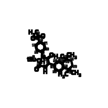 CC(C)(C)OC(=O)NC(C(=O)Nc1ccc(S(C)(=O)=O)cc1)c1ccc2c(c1)C(C)(C)CCC2(C)C